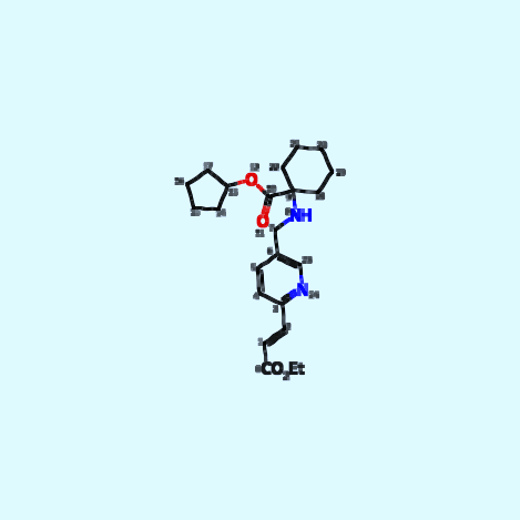 CCOC(=O)/C=C/c1ccc(CNC2(C(=O)OC3CCCC3)CCCCC2)cn1